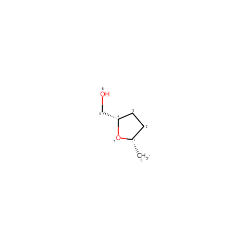 [CH2][C@H]1CC[C@@H](CO)O1